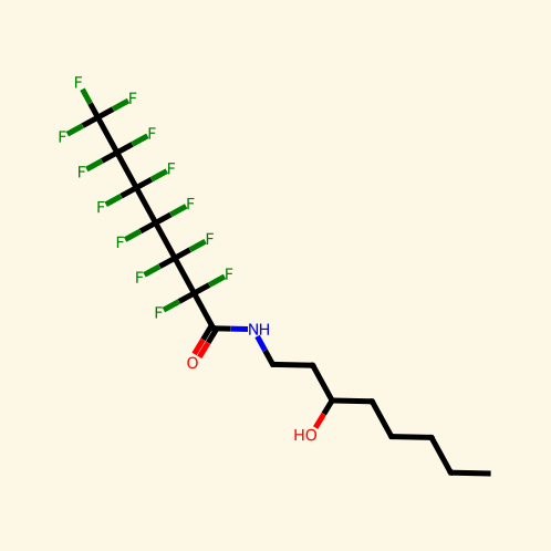 CCCCCC(O)CCNC(=O)C(F)(F)C(F)(F)C(F)(F)C(F)(F)C(F)(F)C(F)(F)F